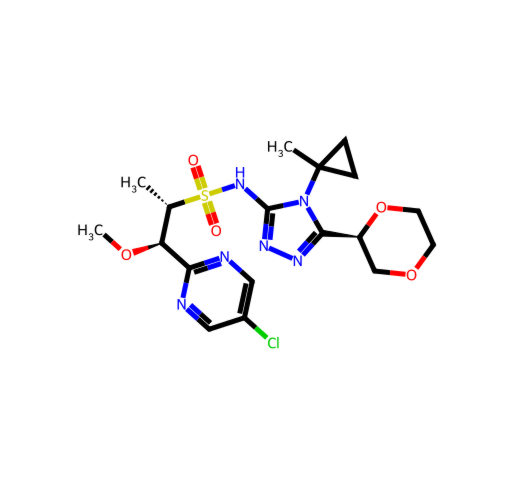 CO[C@H](c1ncc(Cl)cn1)[C@H](C)S(=O)(=O)Nc1nnc([C@@H]2COCCO2)n1C1(C)CC1